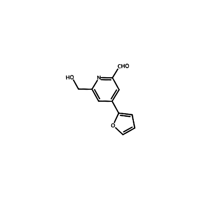 O=Cc1cc(-c2ccco2)cc(CO)n1